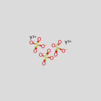 O=S(=O)([O-])[O-].O=S(=O)([O-])[O-].O=S(=O)([O-])[O-].[Y+3].[Y+3]